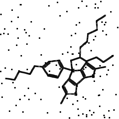 CCCCCCC(CCCC)C[Si]1(c2ccc(CCCCC)cc2)c2cc(C)sc2-c2sc(C)cc21